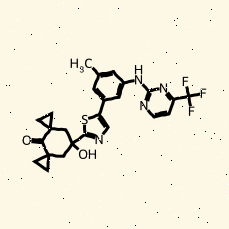 Cc1cc(Nc2nccc(C(F)(F)F)n2)cc(-c2cnc(C3(O)CC4(CC4)C(=O)C4(CC4)C3)s2)c1